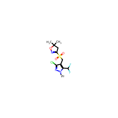 CC(C)n1nc(Cl)c(CS(=O)(=O)C2=NOC(C)(C)C2)c1C(F)F